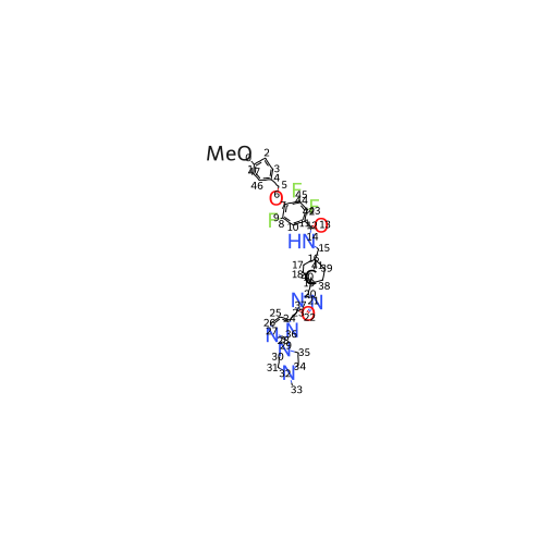 COc1ccc(COc2c(F)cc(C(=O)NCC34CCC(c5noc(-c6ccnc(N7CCN(C)CC7)n6)n5)(CC3)CC4)c(F)c2F)cc1